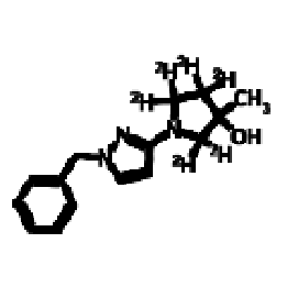 [2H]C1([2H])N(c2ccn(Cc3ccccc3)n2)C([2H])([2H])C(C)(O)C1([2H])[2H]